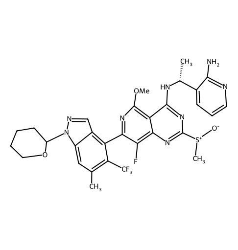 COc1nc(-c2c(C(F)(F)F)c(C)cc3c2cnn3C2CCCCO2)c(F)c2nc([S+](C)[O-])nc(N[C@H](C)c3cccnc3N)c12